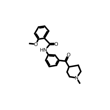 COc1ccccc1C(=O)Nc1cccc(C(=O)C2CCN(C)CC2)c1